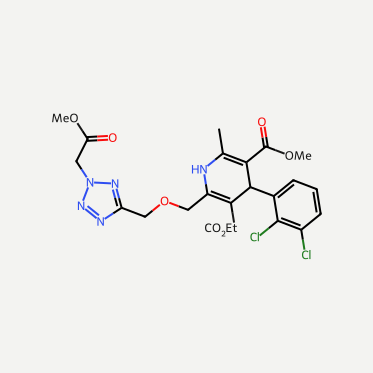 CCOC(=O)C1=C(COCc2nnn(CC(=O)OC)n2)NC(C)=C(C(=O)OC)C1c1cccc(Cl)c1Cl